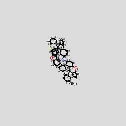 CC(C)(C)c1ccc2c(c1)C1(c3ccccc3Oc3ccc(N(c4ccc5c(c4)C4(c6ccccc6Sc6ccccc64)c4ccccc4-5)c4cccc5oc6ccccc6c45)cc31)c1cc(C(C)(C)C)ccc1-2